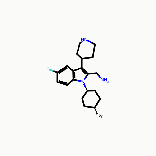 CC(C)[C@H]1CC[C@@H](n2c(CN)c(C3CCNCC3)c3cc(F)ccc32)CC1